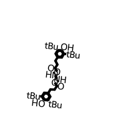 CC(C)(C)c1cc(CCC(=O)ONNOC(=O)CCc2cc(C(C)(C)C)c(O)c(C(C)(C)C)c2)cc(C(C)(C)C)c1O